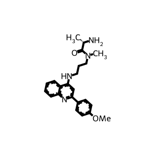 COc1ccc(-c2cc(NCCCN(C)C(=O)[C@H](C)N)c3ccccc3n2)cc1